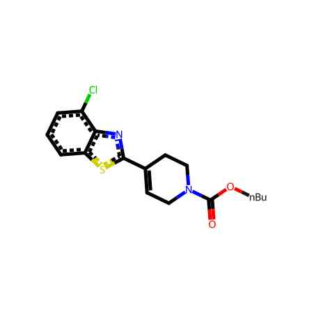 CCCCOC(=O)N1CC=C(c2nc3c(Cl)cccc3s2)CC1